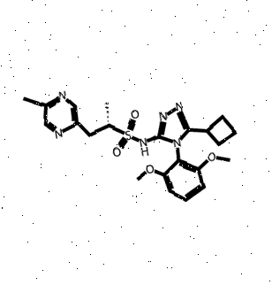 COc1cccc(OC)c1-n1c(NS(=O)(=O)[C@@H](C)Cc2cnc(C)cn2)nnc1C1CCC1